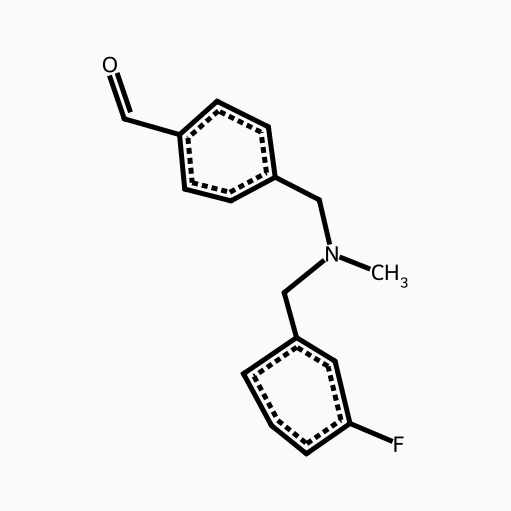 CN(Cc1ccc(C=O)cc1)Cc1cccc(F)c1